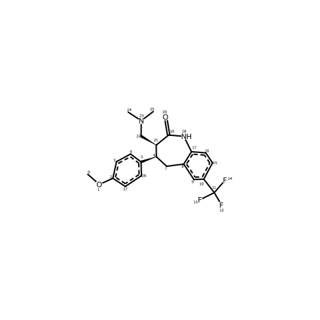 COc1ccc([C@@H]2Cc3cc(C(F)(F)F)ccc3NC(=O)[C@@H]2CN(C)C)cc1